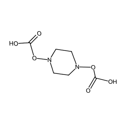 O=C(O)ON1CCN(OC(=O)O)CC1